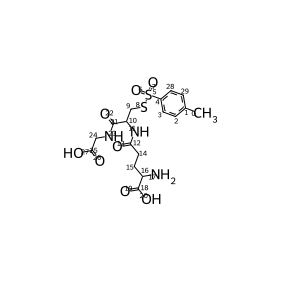 Cc1ccc(S(=O)(=O)SCC(NC(=O)CCC(N)C(=O)O)C(=O)NCC(=O)O)cc1